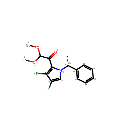 CCOC(OCC)C(=O)c1c(F)c(F)cn1[C@H](C)c1ccccc1